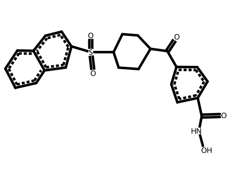 O=C(NO)c1ccc(C(=O)C2CCC(S(=O)(=O)c3ccc4ccccc4c3)CC2)cc1